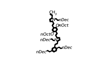 C/C=C/c1ccc(C=Cc2cc(OCCCCCCCC)c(C=Cc3ccc(C=Cc4cc(CCCCCCCCCCCC)ccc4CCCCCCCCCCCC)n3CCCCCCCCCCCC)cc2OCCCCCCCC)n1CCCCCCCCCCCC